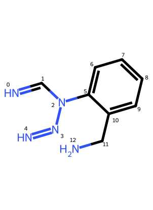 N=CN(N=N)c1ccccc1CN